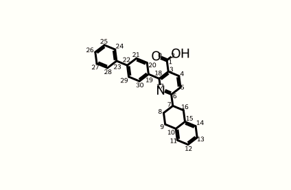 O=C(O)c1ccc(C2CCc3ccccc3C2)nc1-c1ccc(-c2ccccc2)cc1